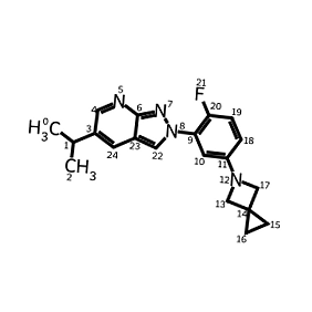 CC(C)c1cnc2nn(-c3cc(N4CC5(CC5)C4)ccc3F)cc2c1